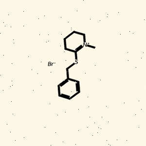 C[N+]1=C(SCc2ccccc2)CCCC1.[Br-]